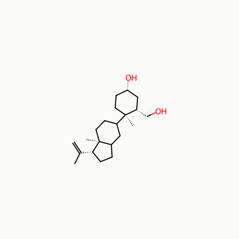 C=C(C)[C@H]1CCC2CC([C@@]3(C)CC[C@H](O)C[C@@H]3CO)CC[C@@]21C